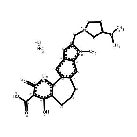 CN(C)C1CCN(Cc2cc3cc4c(cc3n2C)CCCc2c-4[nH]c(=O)c(C(=O)O)c2O)C1.Cl.Cl